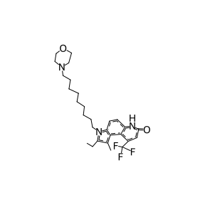 CCc1c(C)c2c3c(C(F)(F)F)cc(=O)[nH]c3ccc2n1CCCCCCCCCN1CCOCC1